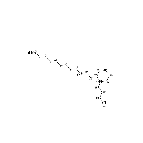 CCCCCCCCCCCCCCCCCCOCCC1CCCCN1CCCCl